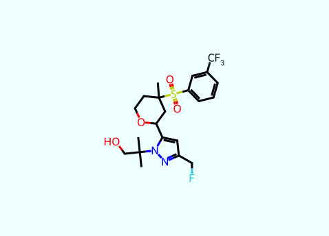 CC(C)(CO)n1nc(CF)cc1C1CC(C)(S(=O)(=O)c2cccc(C(F)(F)F)c2)CCO1